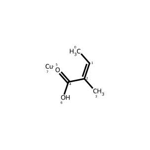 CC=C(C)C(=O)O.[Cu]